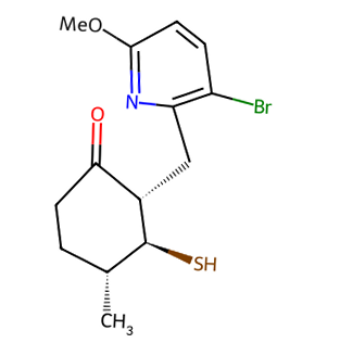 COc1ccc(Br)c(C[C@H]2C(=O)CC[C@@H](C)[C@@H]2S)n1